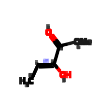 C/C=C(\O)C(=O)OC